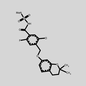 CNS(=O)(=O)NC(=O)c1cc(Cl)c(COc2ccc3c(c2)OC(C)(C)CC3)cc1F